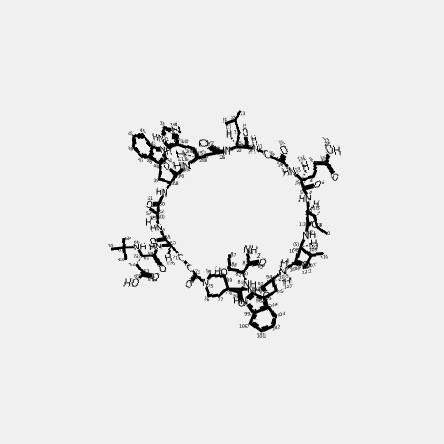 CCC[C@@H]1NC(=O)[C@H](CCC(=O)O)NC(=O)CNC(=O)[C@H](CC(C)C)NC(=O)[C@H](Cc2c[nH]cn2)NC(=O)C(Cc2c[nH]c3ccccc23)NC(=O)[C@H](C)NC(=O)[C@@H](NC(=O)[C@H](CC(=O)O)NC(C)(C)C)CCC(=O)N2CCC(C(=O)N[C@H](C(N)=O)C(C)O)(CC2)NC(=O)[C@H](Cc2c[nH]c3ccccc23)NC(=O)[C@H](C(C)C)NC1=O